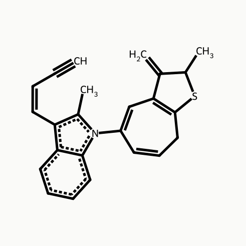 C#C/C=C\c1c(C)n(C2=CC3=C(CC=C2)SC(C)C3=C)c2ccccc12